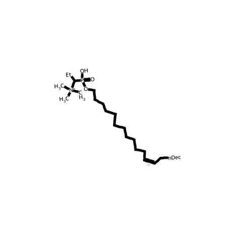 CCCCCCCCCCC/C=C\CCCCCCCCCCCOP(=O)(O)C(CC)[N+](C)(C)C